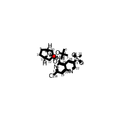 CC(C)(C)OC(=O)N1[C@@H]2CC[C@H]1CC(Nc1nc(Cl)cc3ncc(S(C)(=O)=O)cc13)C2